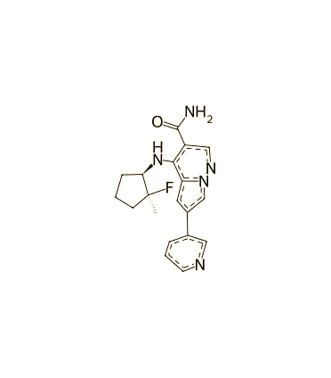 C[C@]1(F)CCC[C@H]1Nc1c(C(N)=O)cnn2cc(-c3cccnc3)cc12